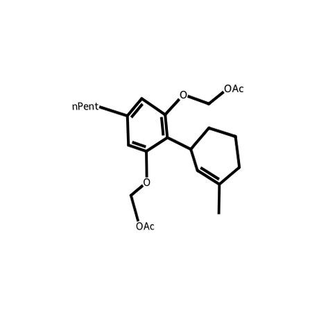 CCCCCc1cc(OCOC(C)=O)c(C2C=C(C)CCC2)c(OCOC(C)=O)c1